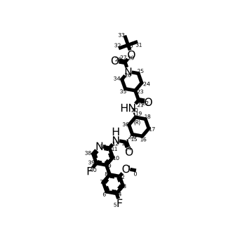 COc1cc(F)ccc1-c1cc(NC(=O)[C@H]2CCC[C@@H](NC(=O)C3CCN(C(=O)OC(C)(C)C)CC3)C2)ncc1F